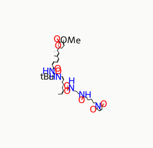 C/C=C\C[C@@H](C/C=C\NC(=O)[C@@H](NC(=O)\C=C/C=C\C(C)=C\[C@H](C)[C@@H]1CC=C(OC)C(=O)O1)C(C)(C)C)OC(=O)NCCCNC(=O)CCCCCN1C(=O)C=CC1=O